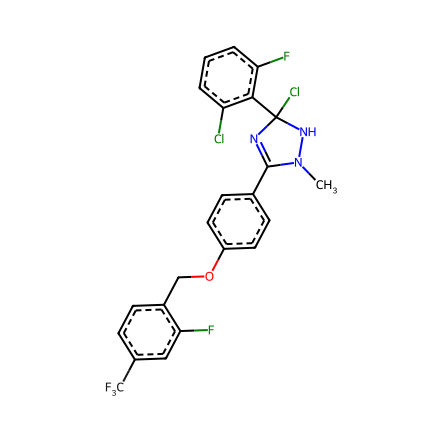 CN1NC(Cl)(c2c(F)cccc2Cl)N=C1c1ccc(OCc2ccc(C(F)(F)F)cc2F)cc1